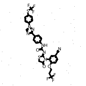 N#Cc1ccc(OCCC(F)(F)F)c(N2C(=O)CS/C2=N\C(=O)Nc2ccc(-c3ncn(-c4ccc(SC(F)(F)F)cc4)n3)cc2)c1